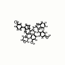 COc1ccc(CN(Cc2nc3ccccc3n2Cc2ccc(OC)cc2)c2nc(N3CCOCC3)nc3c(-c4cccc(Cl)c4)cnn23)cc1